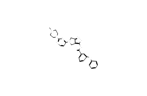 CN1CCN(c2nccc(N3Cc4n[nH]c(NC(=O)c5cccc(Oc6ccccc6)c5)c4C3)n2)CC1